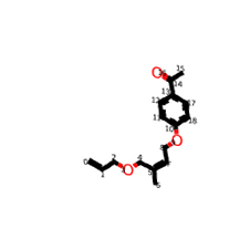 C=CCOCC(C)=CCOc1ccc(C(C)=O)cc1